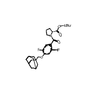 CC(C)(C)OC(=O)[C@@H]1CCCN1C(=O)c1cc(F)c(OCC23CC4CC(CC(C4)C2)C3)cc1F